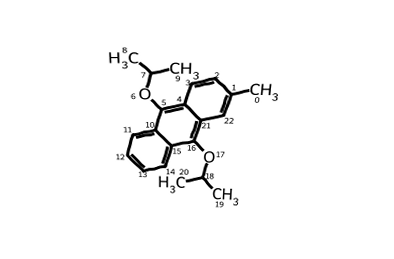 Cc1ccc2c(OC(C)C)c3ccccc3c(OC(C)C)c2c1